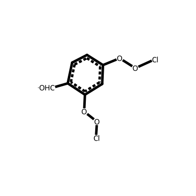 O=[C]c1ccc(OOCl)cc1OOCl